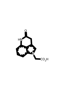 O=C(O)Cn1cc2c3c(cccc31)NC(=O)C2